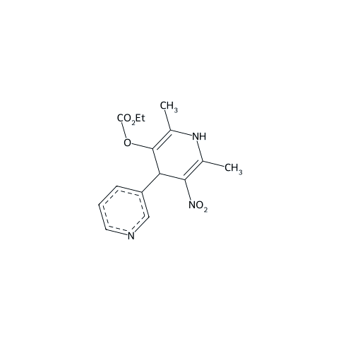 CCOC(=O)OC1=C(C)NC(C)=C([N+](=O)[O-])C1c1cccnc1